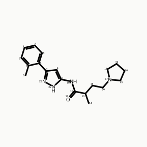 Cc1ccccc1-c1cc(NC(=O)C(C)CCN2CCCC2)[nH]n1